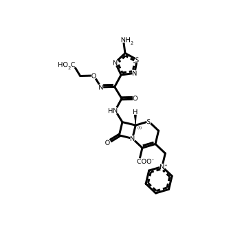 Nc1nc(C(=NOCC(=O)O)C(=O)NC2C(=O)N3C(C(=O)[O-])=C(C[n+]4ccccc4)CS[C@@H]23)ns1